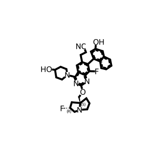 N#CCCc1cc2c(N3CCC(O)CC3)nc(OC[C@@]34CCCN3C[C@H](F)C4)nc2c(F)c1-c1cc(O)cc2ccccc12